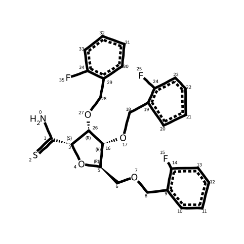 NC(=S)[C@H]1O[C@H](COCc2ccccc2F)[C@@H](OCc2ccccc2F)[C@H]1OCc1ccccc1F